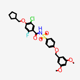 COc1cc(COc2ccc(S(=O)(=O)NC(=O)c3cc(Cl)c(OCC4CCCC4)cc3F)cc2)cc(OC)c1